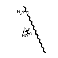 CCCCCCCCC=CCCCCCCCCOC(N)CC.O=C(O)C(F)(F)F